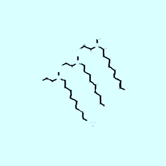 CCCCCCCCCCCCCCCCCCN(C)CCC(=O)[O-].CCCCCCCCCCCCCCCCCCN(C)CCC(=O)[O-].CCCCCCCCCCCCCCCCCCN(C)CCC(=O)[O-].[Cr+3]